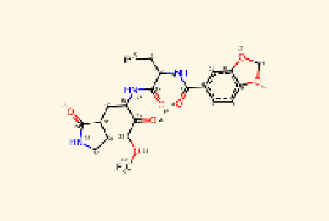 CC(C)CC(NC(=O)c1ccc2c(c1)OCO2)C(=O)NC(CC1CCNC1=O)C(=O)COC(F)(F)F